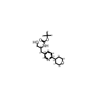 CC(C)(C)OC(=O)NC(CO)Cc1ccc(C2CCOCC2)nc1